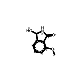 COc1cccc2c1C(=O)NC2O